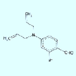 C=CCN(CC=C)c1ccc(C=O)c(Br)c1